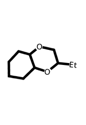 CCC1COC2CCCCC2O1